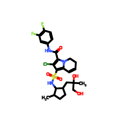 CC1CCC(CC(C)(O)CO)C1NS(=O)(=O)c1c(Cl)c(C(=O)Nc2ccc(F)c(F)c2)n2c1C=CCC2